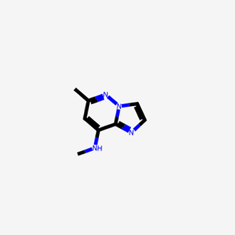 CNc1cc(C)nn2ccnc12